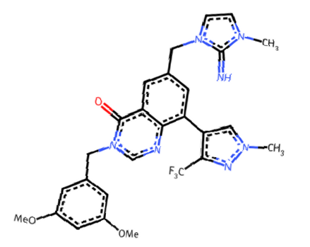 COc1cc(Cn2cnc3c(-c4cn(C)nc4C(F)(F)F)cc(Cn4ccn(C)c4=N)cc3c2=O)cc(OC)c1